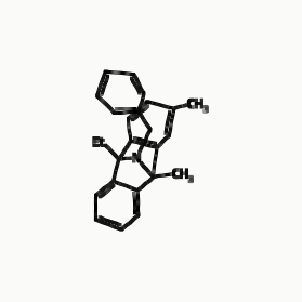 CCC12c3ccccc3C(C)(c3cc(C)ccc31)N2Cc1ccccc1